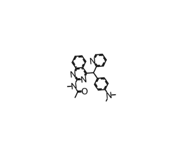 CC(=O)N(C)c1nc(C(c2ccc(N(C)C)cc2)c2ccccn2)c2ccccc2n1